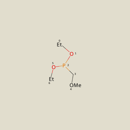 CCOP(COC)OCC